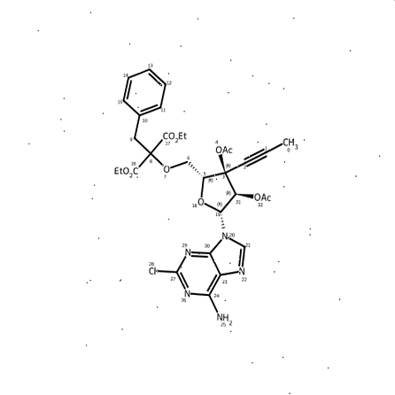 CC#C[C@@]1(OC(C)=O)[C@@H](COC(Cc2ccccc2)(C(=O)OCC)C(=O)OCC)O[C@@H](n2cnc3c(N)nc(Cl)nc32)[C@@H]1OC(C)=O